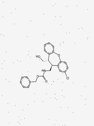 O=C(NC[C@@H]1c2cc(Cl)ccc2Oc2ccccc2[C@H]1CO)OCc1ccccc1